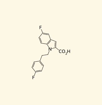 O=C(O)c1cc2cc(F)ccc2n1CCc1ccc(F)cc1